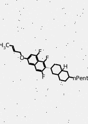 C/C=C/COc1cc(F)c2c(F)c([C@@H]3CC[C@@H]4CC(CCCCC)CCC4C3)c(F)cc2c1